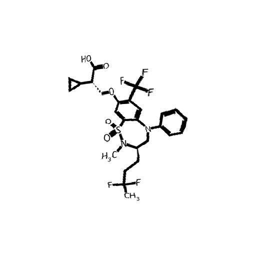 CN1[C@H](CCC(C)(F)F)CN(c2ccccc2)c2cc(C(F)(F)F)c(OC[C@@H](C(=O)O)C3CC3)cc2S1(=O)=O